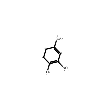 COC1=CC([N+](=O)[O-])=C(C#N)CC1